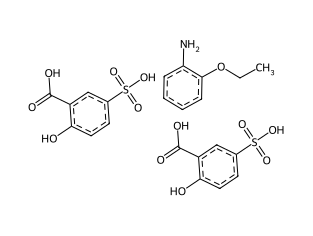 CCOc1ccccc1N.O=C(O)c1cc(S(=O)(=O)O)ccc1O.O=C(O)c1cc(S(=O)(=O)O)ccc1O